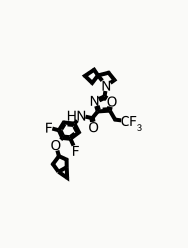 O=C(Nc1cc(F)c(OC2CC3CC3C2)c(F)c1)c1nc(N2CCC23CCC3)oc1CC(F)(F)F